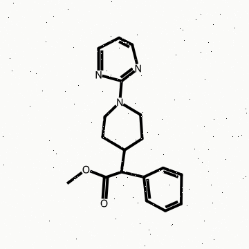 COC(=O)C(c1ccccc1)C1CCN(c2ncccn2)CC1